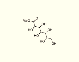 COC(=O)[C@H](O)[C@@H](O)[C@H](O)[C@H](O)C(O)CO